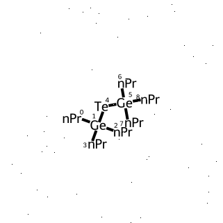 CC[CH2][Ge]([CH2]CC)([CH2]CC)[Te][Ge]([CH2]CC)([CH2]CC)[CH2]CC